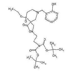 CCOP1(=O)CCN(Cc2ccccc2O)CC1(CCCCN(C(=O)OC(C)(C)C)C(=O)OC(C)(C)C)C(=O)O